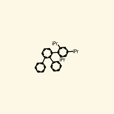 CC(C)c1cc(C(C)C)c(-c2cccc(-c3ccccc3)c2-c2ccccc2)c(C(C)C)c1